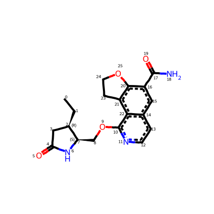 CC[C@@H]1CC(=O)N[C@@H]1COc1nccc2cc(C(N)=O)c3c(c12)CCO3